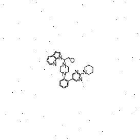 O=CC(N1CCN(c2ccccc2-c2cnc(N3CCCCC3)nc2)CC1)n1ccc2cccnc21